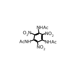 CC(=O)Nc1c([N+](=O)[O-])c(NC(C)=O)c([N+](=O)[O-])c(NC(C)=O)c1[N+](=O)[O-]